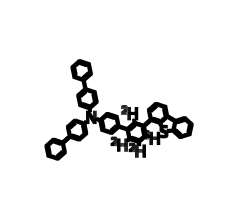 [2H]c1c([2H])c(-c2ccc(N(c3ccc(-c4ccccc4)cc3)c3ccc(-c4ccccc4)cc3)cc2)c([2H])c(-c2cccc3c2sc2ccccc23)c1[2H]